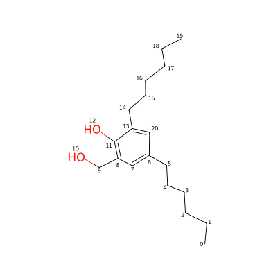 CCCCCCc1cc(CO)c(O)c(CCCCCC)c1